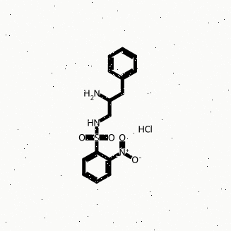 Cl.NC(CNS(=O)(=O)c1ccccc1[N+](=O)[O-])Cc1ccccc1